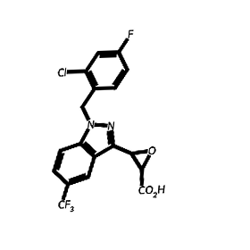 O=C(O)C1OC1c1nn(Cc2ccc(F)cc2Cl)c2ccc(C(F)(F)F)cc12